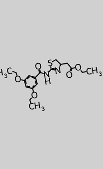 CCOC(=O)CC1CSC(NC(=O)c2cc(OCC)cc(OCC)c2)=N1